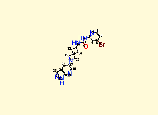 O=C(Nc1cc(Br)ccn1)NC1CC2(C1)CN(c1cnc3[nH]ncc3c1)C2